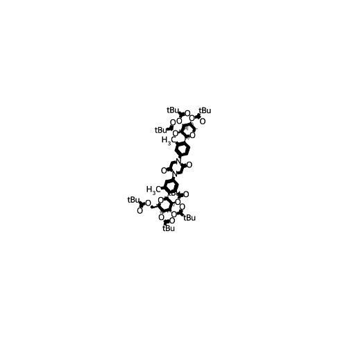 Cc1cc(N2CC(=O)N(c3ccc([C@H]4O[CH][C@@H](OC(=O)C(C)(C)C)[C@@H](OC(=O)C(C)(C)C)[C@@H]4OC(=O)C(C)(C)C)c(C)c3)CC2=O)ccc1[C@H]1O[C@H](COC(=O)C(C)(C)C)[C@@H](OC(=O)C(C)(C)C)[C@H](OC(=O)C(C)(C)C)[C@@H]1OC(=O)C(C)(C)C